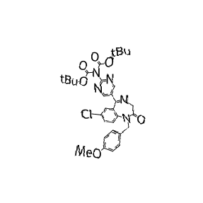 COc1ccc(CN2C(=O)CN=C(c3cnc(N(C(=O)OC(C)(C)C)C(=O)OC(C)(C)C)nc3)c3cc(Cl)ccc32)cc1